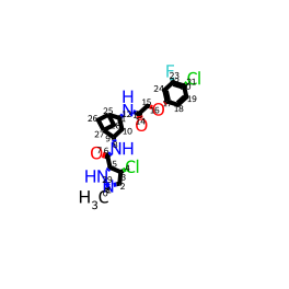 CN1CC(Cl)C(C(=O)NC2CC(NC(=O)COc3ccc(Cl)c(F)c3)C3CC2C3)N1